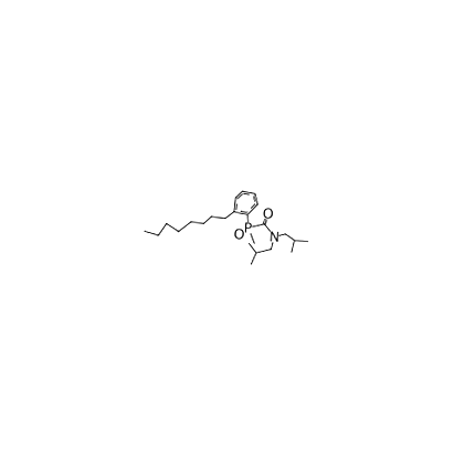 CCCCCCCCc1ccccc1P(C)(=O)C(=O)N(CC(C)C)CC(C)C